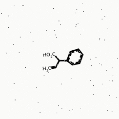 C=C[C](C(=O)O)c1ccccc1